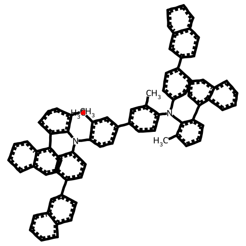 Cc1cc(-c2ccc(N(c3ccc(-c4ccc5ccccc5c4)cc3)c3c(C)cccc3-c3cccc4ccccc34)c(C)c2)ccc1N(c1ccc(-c2ccc3ccccc3c2)cc1)c1c(C)cccc1-c1cccc2ccccc12